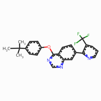 CC(C)(C)c1ccc(Oc2ncnc3cc(-c4ncccc4C(F)(F)F)ccc23)cc1